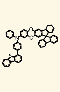 C1=CC2=C(CC1)c1cc3c(cc1C21c2ccccc2-c2ccccc21)Oc1cc(N(c2ccccc2)c2ccc(-c4cccc5c4sc4ccccc45)cc2)ccc1O3